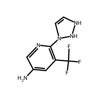 Nc1cnc(N2C=CNN2)c(C(F)(F)F)c1